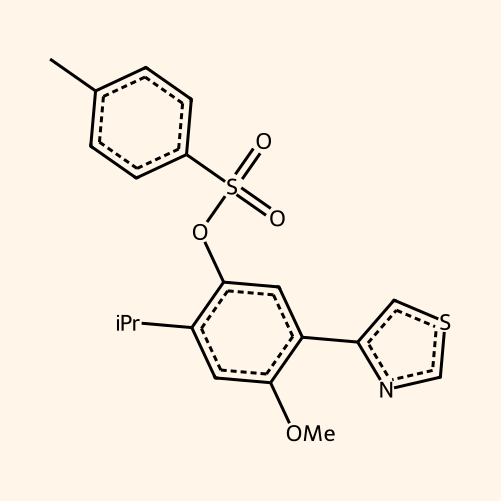 COc1cc(C(C)C)c(OS(=O)(=O)c2ccc(C)cc2)cc1-c1cscn1